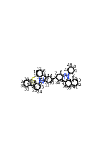 c1ccc(-n2c3ccc(-c4ccc5c(c4)c4ccccc4n5-c4cccc5c4sc4ccccc45)cc3c3ccc4ccccc4c32)cc1